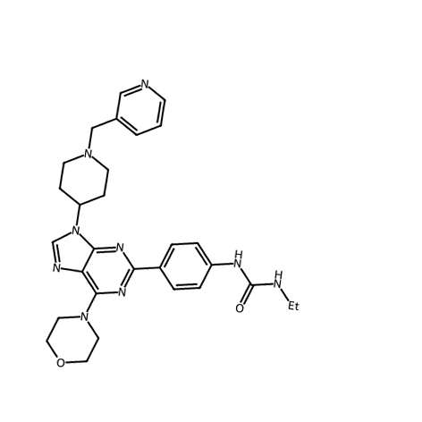 CCNC(=O)Nc1ccc(-c2nc(N3CCOCC3)c3ncn(C4CCN(Cc5cccnc5)CC4)c3n2)cc1